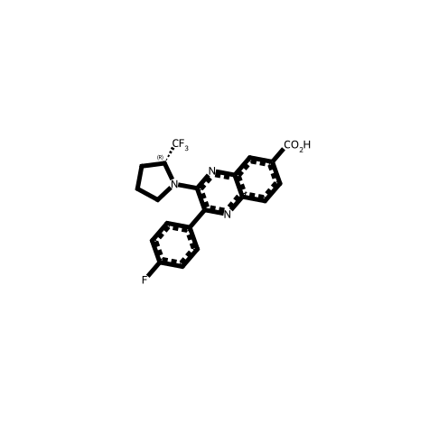 O=C(O)c1ccc2nc(-c3ccc(F)cc3)c(N3CCC[C@@H]3C(F)(F)F)nc2c1